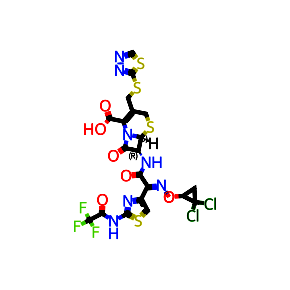 O=C(O)C1=C(CSc2nncs2)CS[C@H]2[C@H](NC(=O)C(=NOC3CC3(Cl)Cl)c3csc(NC(=O)C(F)(F)F)n3)C(=O)N12